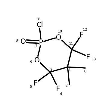 CC1(C)C(F)(F)OP(=O)(Cl)OC1(F)F